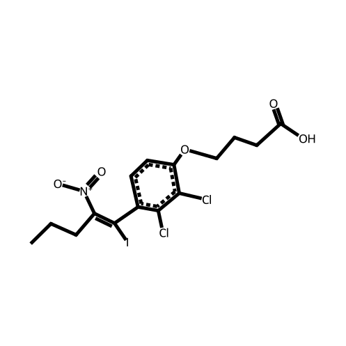 CCCC(=C(I)c1ccc(OCCCC(=O)O)c(Cl)c1Cl)[N+](=O)[O-]